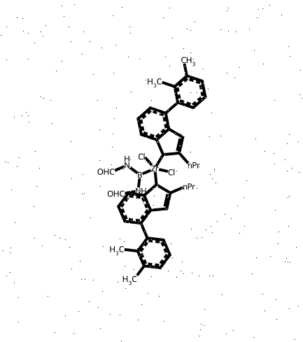 CCCC1=Cc2c(-c3cccc(C)c3C)cccc2[CH]1[Zr]([Cl])([Cl])([B](NC=O)NC=O)[CH]1C(CCC)=Cc2c(-c3cccc(C)c3C)cccc21